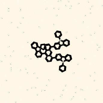 c1ccc(-n2c3ccccc3c3ccc(-c4cccc5c(-c6cccc7c6C6(CCCC6)c6ccccc6-7)c6cccc(-c7ccc8c9ccccc9n(-c9ccccc9)c8c7)c6cc45)cc32)cc1